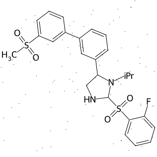 CC(C)N1C(c2cccc(-c3cccc(S(C)(=O)=O)c3)c2)CNC1S(=O)(=O)c1ccccc1F